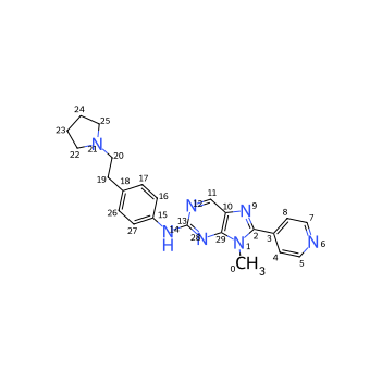 Cn1c(-c2ccncc2)nc2cnc(Nc3ccc(CCN4CCCC4)cc3)nc21